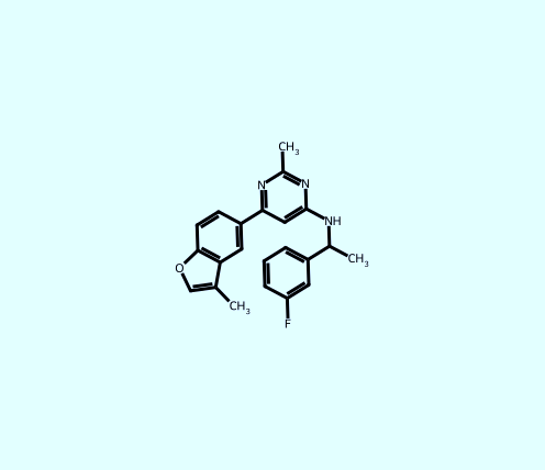 Cc1nc(NC(C)c2cccc(F)c2)cc(-c2ccc3occ(C)c3c2)n1